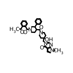 CC(=O)c1ccccc1C(=O)N1CCC(C(=O)N2CCC(O)(Cn3cnc4c(ccn4C)c3=O)CC2)C(c2ccccc2)C1